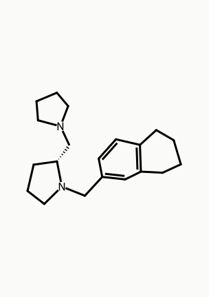 c1cc2c(cc1CN1CCC[C@@H]1CN1CCCC1)CCCC2